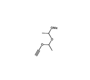 C#COC(C)OC(C)OC